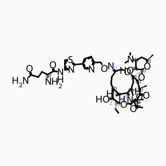 CCC(=O)/N=C1\[C@H](C)C[C@@]2(C)OC/C(=N/OCc3ccc(-c4nc(NC(=O)[C@@H](N)CCC(N)=O)cs4)cn3)CC[C@H]([C@H]1C)[C@](C)(O)[C@@H](CC)OC(=O)[C@@](C)(F)C(=O)[C@H](C)[C@H]2O[C@@H]1O[C@H](C)C[C@H](N(C)C)[C@H]1O